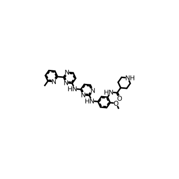 COc1ccc(Nc2nccc(Nc3ccnc(-c4cccc(C)n4)n3)n2)cc1NC(=O)C1CCNCC1